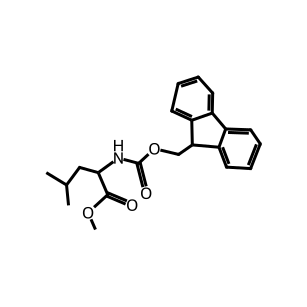 COC(=O)C(CC(C)C)NC(=O)OCC1c2ccccc2-c2ccccc21